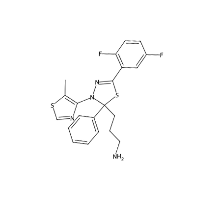 Cc1scnc1N1N=C(c2cc(F)ccc2F)SC1(CCCN)c1ccccc1